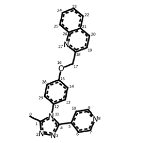 Cc1nnc(-c2ccncc2)n1-c1ccc(OCc2ccc3ccccc3n2)cc1